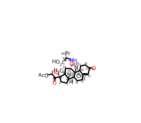 CC(=O)OCC(=O)[C@@]1(O)CC[C@H]2[C@@H]3CCC4=CC(=O)CC[C@]4(C)[C@H]3[C@@H](O)C[C@@]21C.CC(C)[C@H](N)C(=O)O